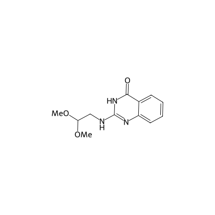 COC(CNc1nc2ccccc2c(=O)[nH]1)OC